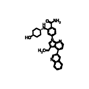 C=Cc1cn(-c2ccc(C(N)=O)c(N[C@H]3CC[C@H](O)CC3)c2)c2nccc(-c3cnc4ccccc4c3)c12